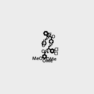 COc1cc(C(=O)N(C)CC(CCN2CCC(C(=O)c3nc4ccccc4n3CCN3CCOCC3)CC2)c2ccc(Cl)c(Cl)c2)cc(OC)c1OC